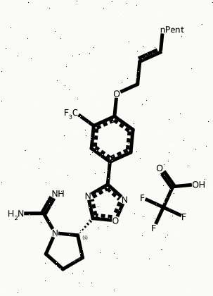 CCCCCC=CCOc1ccc(-c2noc([C@@H]3CCCN3C(=N)N)n2)cc1C(F)(F)F.O=C(O)C(F)(F)F